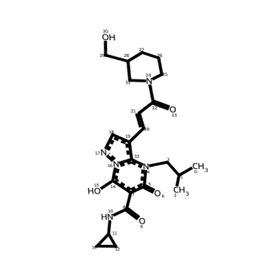 CC(C)Cn1c(=O)c(C(=O)NC2CC2)c(O)n2ncc(C=CC(=O)N3CCCC(CO)C3)c12